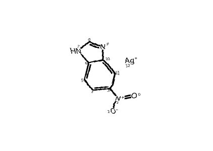 O=[N+]([O-])c1ccc2[nH]cnc2c1.[Ag+]